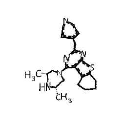 C[C@@H]1CN(c2nc(-c3ccncc3)nc3sc4c(c23)CCCC4)C[C@H](C)N1